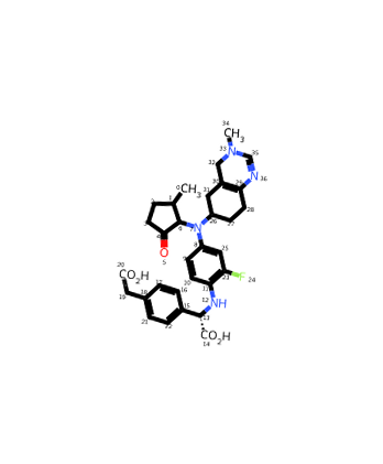 CC1CCC(=O)C1N(c1ccc(N[C@H](C(=O)O)c2ccc(CC(=O)O)cc2)c(F)c1)C1CCC2=C(C1)CN(C)C=N2